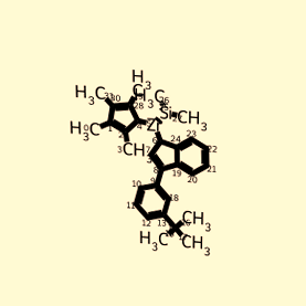 CC1=C(C)[CH]([Zr]([CH]2C=C(c3cccc(C(C)(C)C)c3)c3ccccc32)=[Si](C)C)C(C)=C1C